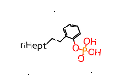 CCCCCCCCCc1ccccc1OP(=O)(O)O